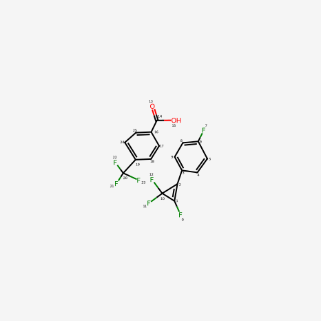 FC1=C(c2ccc(F)cc2)C1(F)F.O=C(O)c1ccc(C(F)(F)F)cc1